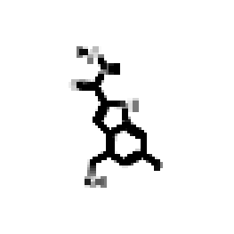 CNC(=O)c1cc2c(CO)cc(F)cc2[nH]1